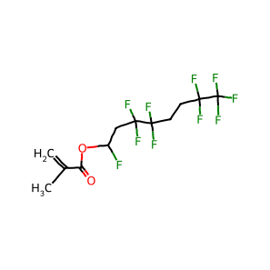 C=C(C)C(=O)OC(F)CC(F)(F)C(F)(F)CCC(F)(F)C(F)(F)F